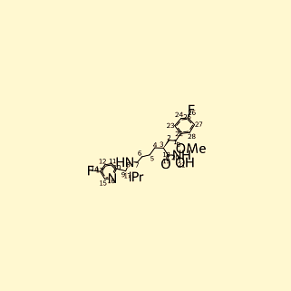 CO[C@H](C[C@H](CCCCN[C@@H](c1ccc(F)cn1)C(C)C)C(=O)NO)c1ccc(F)cc1